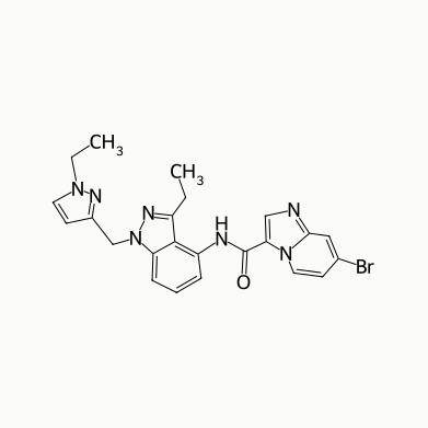 CCc1nn(Cc2ccn(CC)n2)c2cccc(NC(=O)c3cnc4cc(Br)ccn34)c12